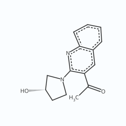 CC(=O)c1cc2ccccc2nc1N1CC[C@H](O)C1